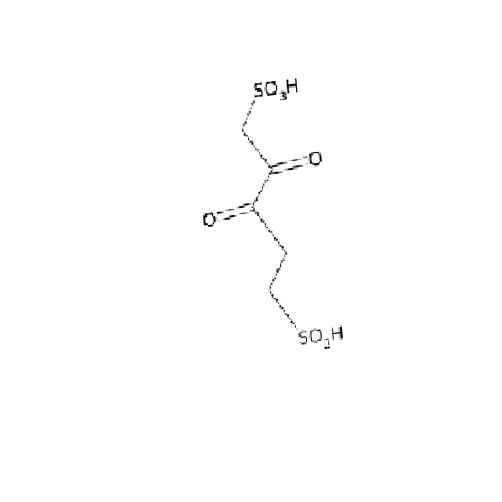 O=C(CCS(=O)(=O)O)C(=O)CS(=O)(=O)O